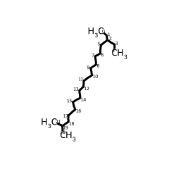 CCC(CC)CCCCCCCCCCCCCCC(C)C